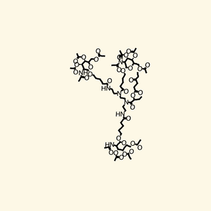 CCC(=O)CCC(=O)OC(CC)C(=O)N(CCNC(=O)CCCCO[C@@H]1OC(COC(C)=O)[C@H](OC(C)=O)[C@H](OC(C)=O)C1NC(C)=O)CCN(CCNC(=O)CCCCO[C@@H]1OC(COC(C)=O)[C@H](OC(C)=O)[C@H](OC(C)=O)C1NC(C)=O)C(=O)CCCCO[C@@H]1OC(COC(C)=O)[C@H](OC(C)=O)[C@H](OC(C)=O)C1NC(C)=O